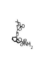 CC(C)(C)N1CC(COc2cccc3cc(S(N)(=O)=O)oc23)OC1=O